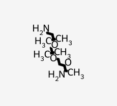 CC(N)C(=O)CCOC(C)(C)COC(C)(C)CCN